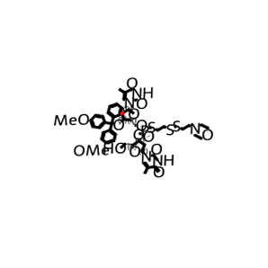 COc1ccc(C(O[C@@H]2C[C@H](n3cc(C)c(=O)[nH]c3=O)O[C@@H]2COP(=O)(O[C@@H]2C[C@H](n3cc(C)c(=O)[nH]c3=O)O[C@@H]2CO)SCCSSCCN2CCOCC2)(c2ccccc2)c2ccc(OC)cc2)cc1